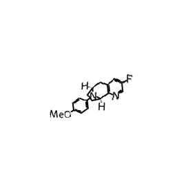 COc1ccc(N2[C@H]3CC[C@@H]2c2ncc(F)cc2C3)cc1